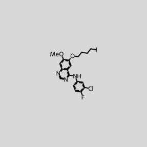 COc1cc2ncnc(Nc3ccc(F)c(Cl)c3)c2cc1OCCCCI